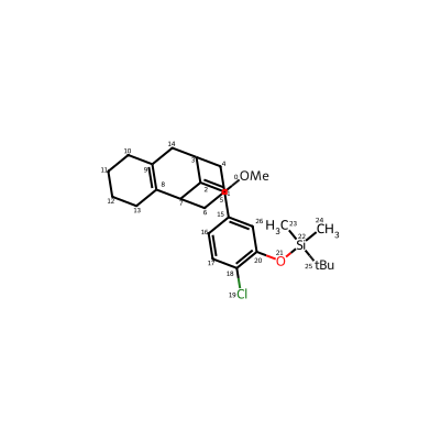 CO/C(=C1\C2CCCC1C1=C(CCCC1)C2)c1ccc(Cl)c(O[Si](C)(C)C(C)(C)C)c1